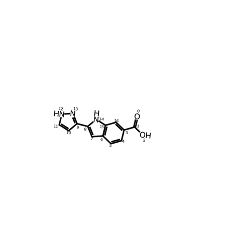 O=C(O)c1ccc2cc(-c3cc[nH]n3)[nH]c2c1